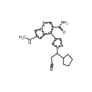 CNc1cc2c(-c3cnn(C(CC#N)C4CCCC4)c3)c(C(N)=O)cnn2c1